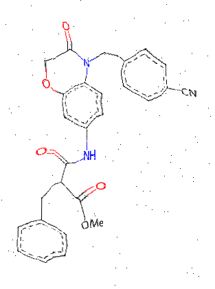 COC(=O)C(Cc1ccccc1)C(=O)Nc1ccc2c(c1)OCC(=O)N2Cc1ccc(C#N)cc1